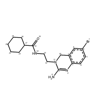 NC1=Nc2ccc(Br)cc2CN1CCNC(=O)C1CCCCC1